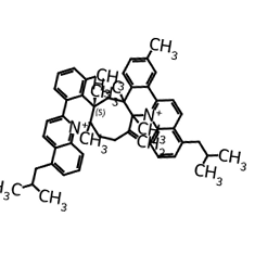 C=C1CCC2(C)[n+]3c(ccc4c(CC(C)C)cccc43)-c3cccc(C)c3[C@]2(C)CC2(C)c3ccc(C)cc3-c3ccc4c(CC(C)C)cccc4[n+]3C12C